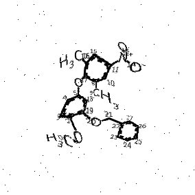 COc1ccc(Oc2c(C)cc([N+](=O)[O-])cc2C)cc1OCc1ccccc1